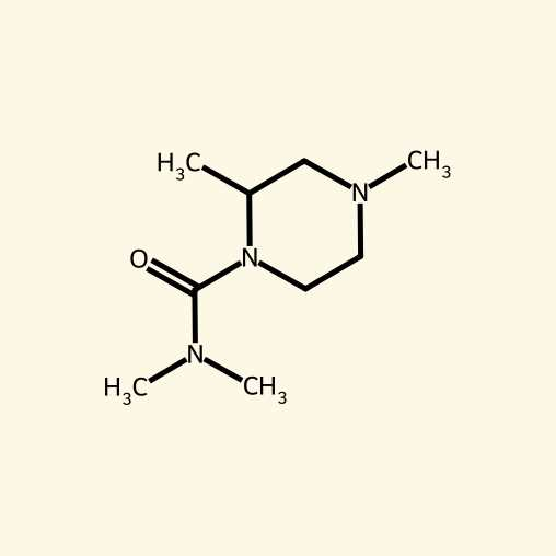 CC1CN(C)CCN1C(=O)N(C)C